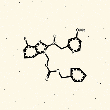 COc1ccnc(C[S+]([O-])c2nc3c(F)cccc3n2COC(=O)OCc2ccccc2)c1